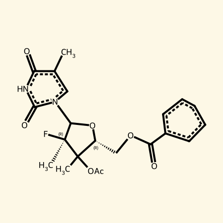 CC(=O)OC1(C)[C@@H](COC(=O)c2ccccc2)OC(n2cc(C)c(=O)[nH]c2=O)[C@]1(C)F